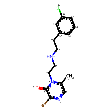 Cc1cnc(Br)c(=O)n1CCNCCc1cccc(Cl)c1